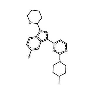 CC1CCN(c2nccc(-c3nn(C4CCCCO4)c4ccc(Br)cc34)n2)CC1